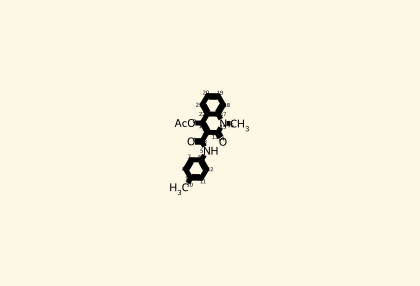 CC(=O)Oc1c(C(=O)Nc2ccc(C)cc2)c(=O)n(C)c2ccccc12